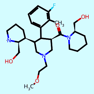 COCCN1CC([C@@H]2CCC[N][C@@H]2CO)C(c2cccc(F)c2C)[C@@H](C(=O)N2CCCC[C@@H]2CO)C1